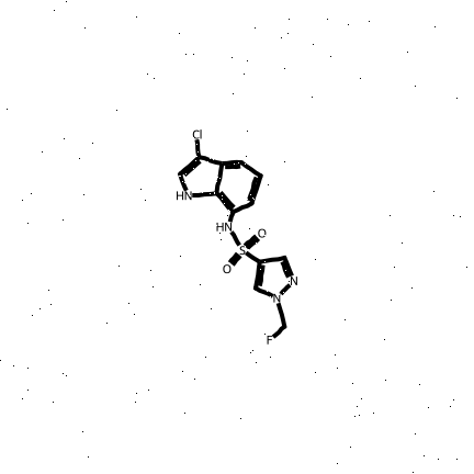 O=S(=O)(Nc1cccc2c(Cl)c[nH]c12)c1cnn(CF)c1